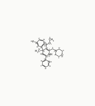 COC(=O)C1=C(CN2CCOCC2)NC(c2ccccn2)=NC1(C)c1cccc(F)c1